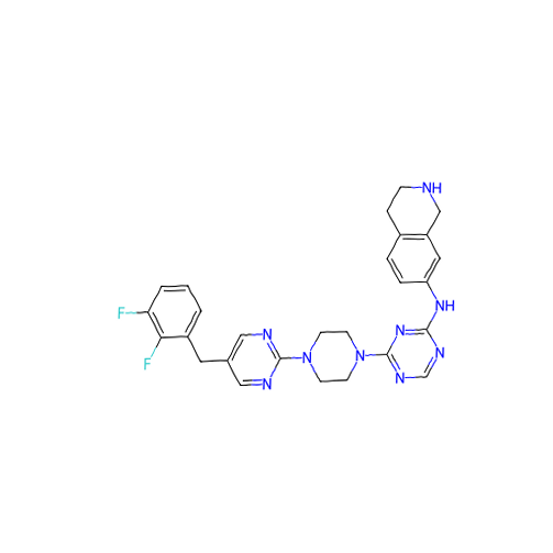 Fc1cccc(Cc2cnc(N3CCN(c4ncnc(Nc5ccc6c(c5)CNCC6)n4)CC3)nc2)c1F